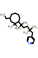 CCC1CCCCC(C(C)(C)CCC(C)(C)Cc2ccncc2)C(C)(C)C1